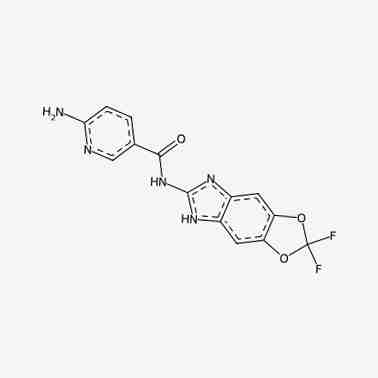 Nc1ccc(C(=O)Nc2nc3cc4c(cc3[nH]2)OC(F)(F)O4)cn1